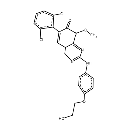 CON1C(=O)C(c2c(Cl)cccc2Cl)=CC2CN=C(Nc3ccc(OCCO)cc3)N=C21